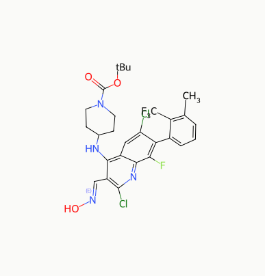 Cc1cccc(-c2c(Cl)cc3c(NC4CCN(C(=O)OC(C)(C)C)CC4)c(/C=N/O)c(Cl)nc3c2F)c1C(F)(F)F